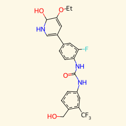 CCOC1=CC(c2ccc(NC(=O)Nc3ccc(CO)c(C(F)(F)F)c3)c(F)c2)=CNC1O